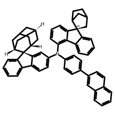 c1ccc2c(c1)-c1c(N(c3ccc(-c4ccc5ccccc5c4)cc3)c3ccc4c(c3)[C@]3(c5ccccc5-4)[C@@H]4CC5C[C@@H](C4)C[C@H]3C5)cccc1[C@@]21CC2CCC1C2